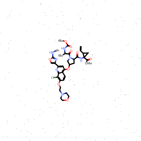 C=CC1CC1(NC(=O)C1CC(Oc2cc(-c3coc(NC(C)C)n3)nc3c(Cl)c(OCCN4CCOCC4)ccc23)CN1C(=O)C(NC(=O)OC(C)(C)C)C(C)(C)C)C(=O)OC